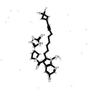 Cn1c(CCCCCCC#CC2CC(F)(F)C2)c(C(=O)N2CC[C@H](c3noc(=O)[nH]3)C2)c2cc(Br)cnc21